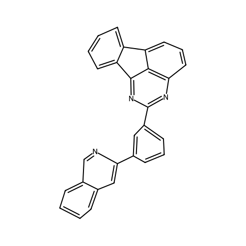 c1cc(-c2cc3ccccc3cn2)cc(-c2nc3c4c(cccc4n2)-c2ccccc2-3)c1